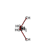 C#CC#CC#CC#CC#CC#CC#CC#CC#C[N+](C)(CCO)CC(O)C[N+](C)(C#CC#CC#CC#CC#CC#CC#CC#CC#C)CCO